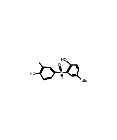 Cc1cc(S(=O)(=O)c2cc(C(C)(C)C)ccc2O)ccc1O